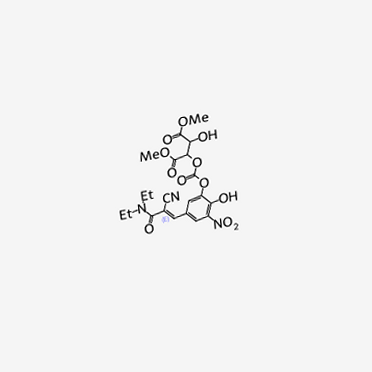 CCN(CC)C(=O)/C(C#N)=C/c1cc(OC(=O)OC(C(=O)OC)C(O)C(=O)OC)c(O)c([N+](=O)[O-])c1